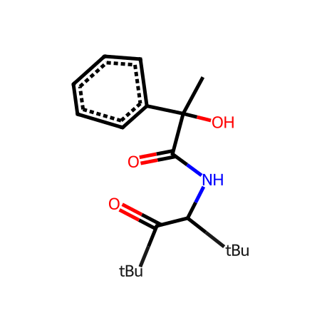 CC(C)(C)C(=O)C(NC(=O)C(C)(O)c1ccccc1)C(C)(C)C